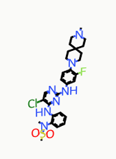 CN1CCC2(CC1)CCN(c1ccc(Nc3ncc(Cl)c(Nc4ccccc4N(C)S(C)(=O)=O)n3)cc1F)CC2